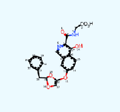 O=C(O)CNC(=O)c1ncc2cc(OC3=COC(Cc4ccccc4)O3)ccc2c1O